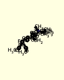 BOC(=O)C1=C(C[n+]2cccc3c2CCCN3C(=O)c2cc(F)c(OCc3ccc(OC)cc3)c(OCc3ccc(OC)cc3)c2)C[S+]([O-])[C@@H]2[C@H](NC(=O)/C(=N\OC(C)(C)C(=O)OC(C)(C)C)c3csc(C)n3)C(=O)N12